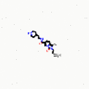 N#Cc1c2ccc(C(=O)NCCC3CCNCC3)cn2c(=O)n1CCC(=O)O